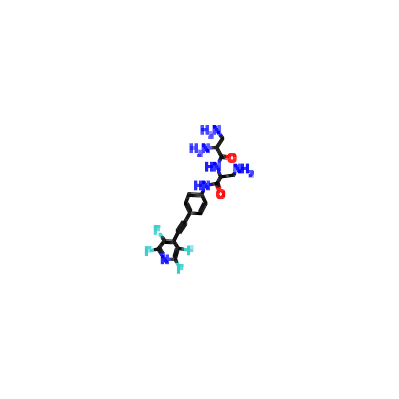 NCC(N)C(=O)NC(CN)C(=O)Nc1ccc(C#Cc2c(F)c(F)nc(F)c2F)cc1